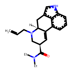 C=CCN1C[C@H](C(=O)N(CC)CC)C=C2c3cccc4[nH]cc(c34)C[C@@H]21